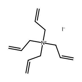 C=CC[N+](CC=C)(CC=C)CC=C.[I-]